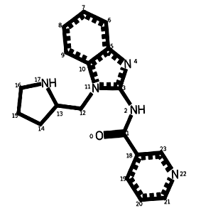 O=C(Nc1nc2ccccc2n1CC1CCCN1)c1cccnc1